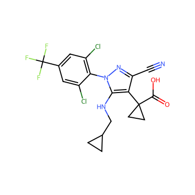 N#Cc1nn(-c2c(Cl)cc(C(F)(F)F)cc2Cl)c(NCC2CC2)c1C1(C(=O)O)CC1